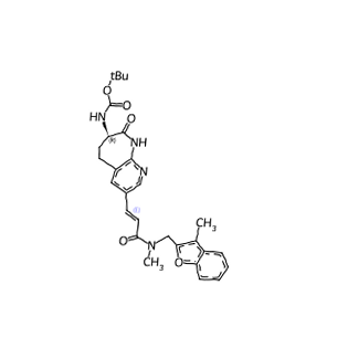 Cc1c(CN(C)C(=O)/C=C/c2cnc3c(c2)CC[C@@H](NC(=O)OC(C)(C)C)C(=O)N3)oc2ccccc12